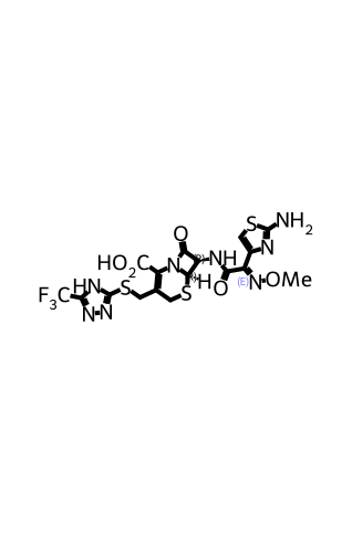 CO/N=C(/C(=O)N[C@@H]1C(=O)N2C(C(=O)O)=C(CSc3nnc(C(F)(F)F)[nH]3)CS[C@H]12)c1csc(N)n1